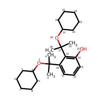 CC(C)(OC1CCCCC1)c1cccc(O)c1C(C)(C)OC1CCCCC1